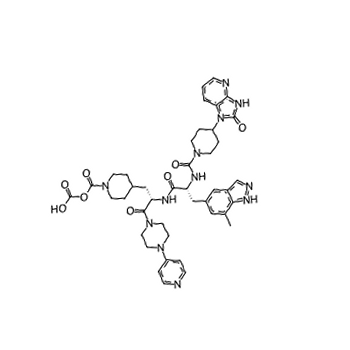 Cc1cc(C[C@@H](NC(=O)N2CCC(n3c(=O)[nH]c4ncccc43)CC2)C(=O)N[C@@H](CC2CCN(C(=O)OC(=O)O)CC2)C(=O)N2CCN(c3ccncc3)CC2)cc2cn[nH]c12